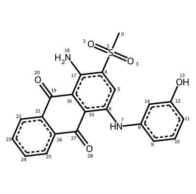 CS(=O)(=O)c1cc(Nc2cccc(O)c2)c2c(c1N)C(=O)c1ccccc1C2=O